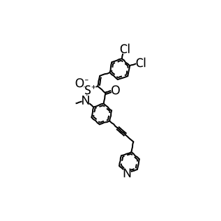 CN1c2ccc(C#CCc3ccncc3)cc2C(=O)/C(=C\c2ccc(Cl)c(Cl)c2)[S+]1[O-]